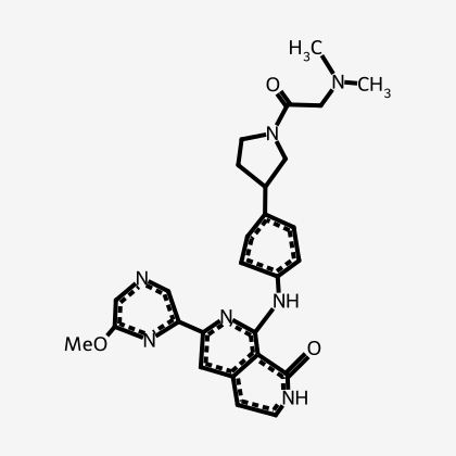 COc1cncc(-c2cc3cc[nH]c(=O)c3c(Nc3ccc(C4CCN(C(=O)CN(C)C)C4)cc3)n2)n1